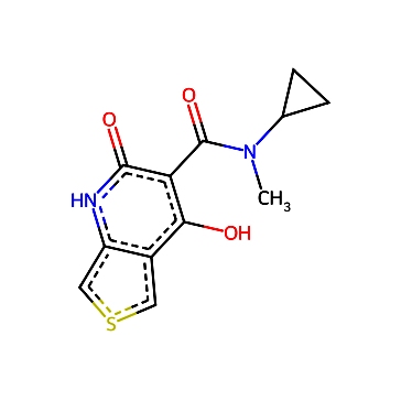 CN(C(=O)c1c(O)c2cscc2[nH]c1=O)C1CC1